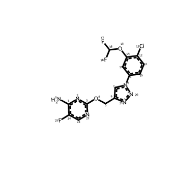 Nc1nc(OCc2cn(-c3ccc(Cl)c(OC(F)F)c3)nn2)ncc1F